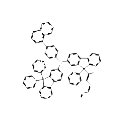 C=C/C=C\C=C(/C)C1(c2ccccc2)c2ccccc2-c2ccc(N(c3ccc(-c4cccc5ccccc45)cc3)c3ccc4c(c3)C(c3ccccc3)(c3ccccc3)c3ccccc3-4)cc21